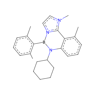 Cc1cccc(C)c1B1N(C2CCCCC2)c2cccc(C)c2-c2n1cc[n+]2C